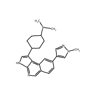 CN(C)C1CCC(c2c[nH]c3ncc4ccc(-c5cnn(C)c5)cc4c23)CC1